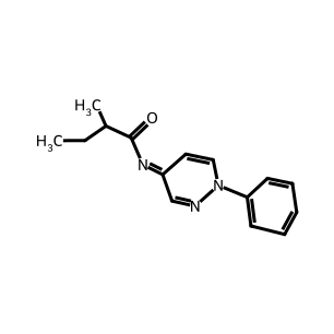 CCC(C)C(=O)N=c1ccn(-c2ccccc2)nc1